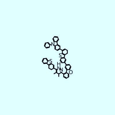 CC1=C(C2=Cc3sc4ccccc4c3CC2)NN=C(c2cccc3oc4ccc(-c5ccc6sc7c(c6c5)CCC=C7c5ccc6c(c5)c5ccccc5n6-c5ccccc5)cc4c23)C1C